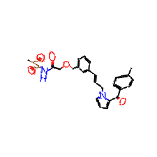 Cc1ccc(C(=O)c2cccn2C/C=C/c2cccc(COCC(=O)NS(C)(=O)=O)c2)cc1